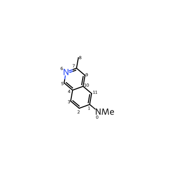 CNc1ccc2cnc(C)cc2c1